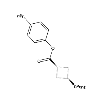 CCCCC[C@H]1C[C@@H](C(=O)Oc2ccc(CCC)cc2)C1